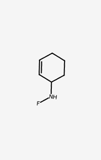 FNC1C=CCCC1